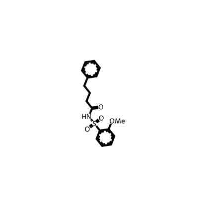 COc1ccccc1S(=O)(=O)NC(=O)CCCc1ccccc1